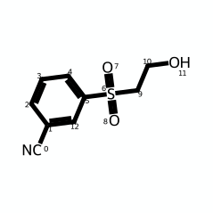 N#Cc1cccc(S(=O)(=O)CCO)c1